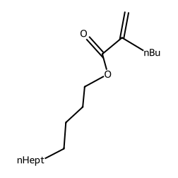 C=C(CCCC)C(=O)OCCCCCCCCCCC